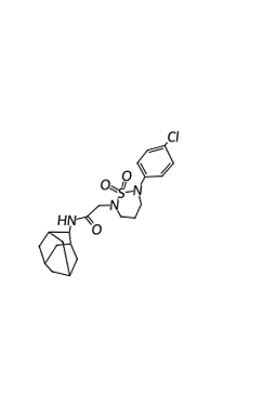 O=C(CN1CCCN(c2ccc(Cl)cc2)S1(=O)=O)NC1C2CC3CC(C2)CC1C3